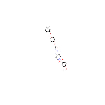 CCCCOc1ccc(S(=O)(=O)N2CCC(CNC[C@H](O)COc3ccc(OCc4ccccc4)cc3)CC2)cc1